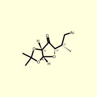 CC(=O)C[C@H](C)[C@@H]1O[C@@H]2OC(C)(C)O[C@@H]2C1=O